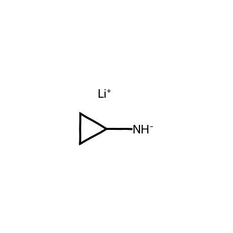 [Li+].[NH-]C1CC1